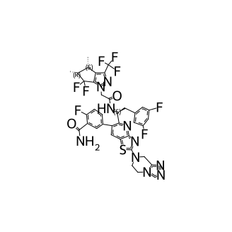 C[C@@H]1c2c(C(F)(F)F)nn(CC(=O)N[C@@H](Cc3cc(F)cc(F)c3)c3nc4nc(N5CCn6cnnc6C5)sc4cc3-c3ccc(F)c(C(N)=O)c3)c2C(F)(F)[C@@H]1C